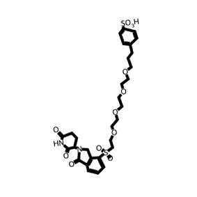 O=C1CCC(N2Cc3c(cccc3S(=O)(=O)CCOCCOCCOCCOCCCc3ccc(S(=O)(=O)O)cc3)C2=O)C(=O)N1